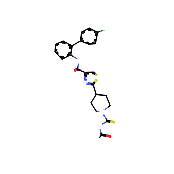 CC(=O)NC(=S)N1CCC(c2nc(C(=O)Nc3ccccc3-c3ccc(Cl)cc3)cs2)CC1